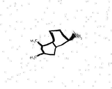 CC1CC2CC(N)CC=C2C1C